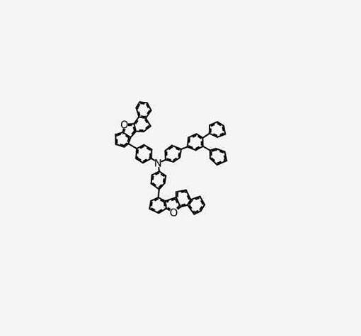 c1ccc(-c2ccc(-c3ccc(N(c4ccc(-c5cccc6oc7c8ccccc8ccc7c56)cc4)c4ccc(-c5cccc6oc7c8ccccc8ccc7c56)cc4)cc3)cc2-c2ccccc2)cc1